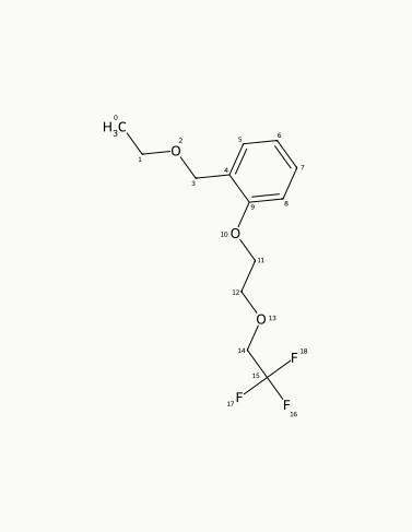 CCOCc1ccccc1OCCOCC(F)(F)F